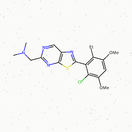 CCc1c(OC)cc(OC)c(Cl)c1-c1nc2cnc(CN(C)C)nc2s1